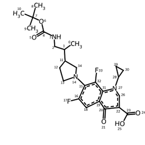 CC(CNC(=O)OC(C)(C)C)C1CCN(c2c(F)cc3c(=O)c(C(=O)O)cn(C4CC4)c3c2F)C1